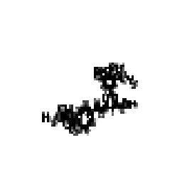 COc1cc(C(=O)O[C@H](CCCO)CCN2CCCN(C(=O)OC(C)(C)C)CC2)cc(OC)c1OC